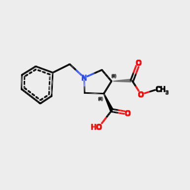 COC(=O)[C@H]1CN(Cc2ccccc2)C[C@@H]1C(=O)O